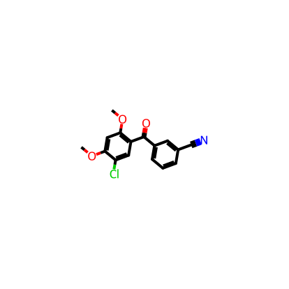 COc1cc(OC)c(C(=O)c2cccc(C#N)c2)cc1Cl